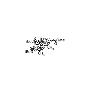 COC(=O)CCSP(=S)(OC(C)C)OC(C)CSP(=S)(OC(C)CSP(=S)(OCC(C)C)OCC(C)C)OC(C)CSP(=S)(OCC(C)C)OCC(C)C